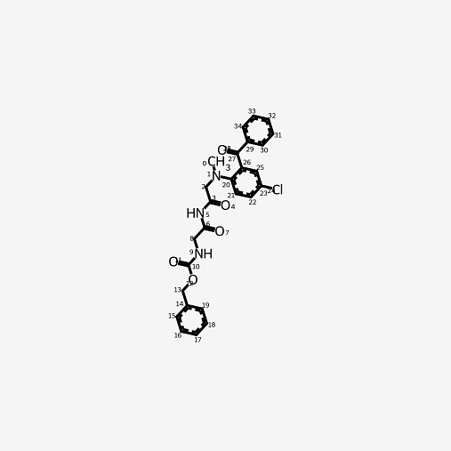 CN(CC(=O)NC(=O)CNC(=O)OCc1ccccc1)c1ccc(Cl)cc1C(=O)c1ccccc1